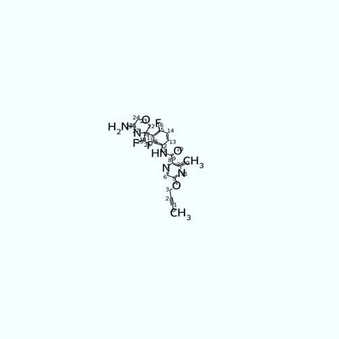 CC#CCOc1cnc(C(=O)Nc2ccc(F)c(C3(C(F)F)COCC(N)=N3)c2)c(C)n1